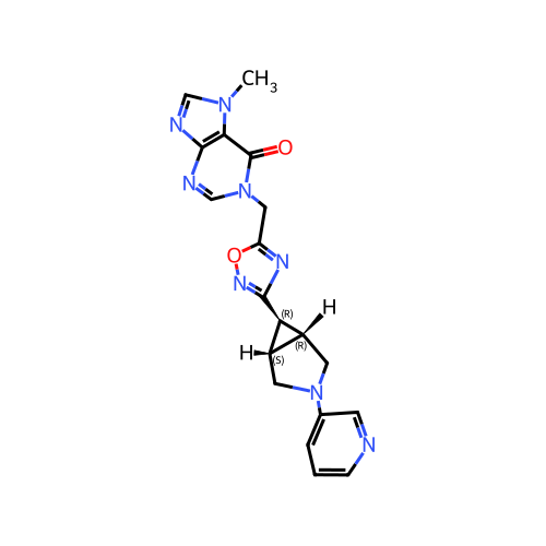 Cn1cnc2ncn(Cc3nc([C@H]4[C@@H]5CN(c6cccnc6)C[C@@H]54)no3)c(=O)c21